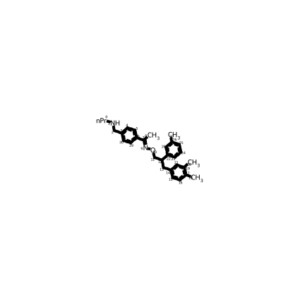 [CH2]CCNCc1ccc(/C(C)=N/OCC(Cc2ccc(C)c(C)c2)c2cccc(C)c2)cc1